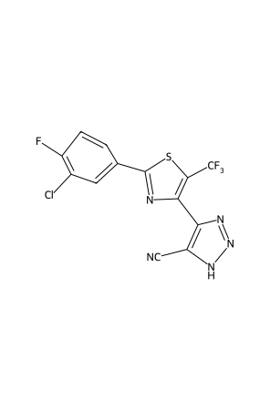 N#Cc1[nH]nnc1-c1nc(-c2ccc(F)c(Cl)c2)sc1C(F)(F)F